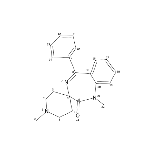 CN1CCC2(CC1)N=C(c1ccccc1)c1ccccc1N(C)C2=O